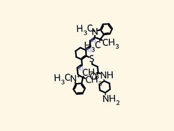 CN1/C(=C/C=C2\CCCC(/C=C/C3=[N+](C)c4ccccc4C3(C)C)=C2SCCC(=O)N[C@H]2CC[C@H](N)CC2)C(C)(C)c2ccccc21